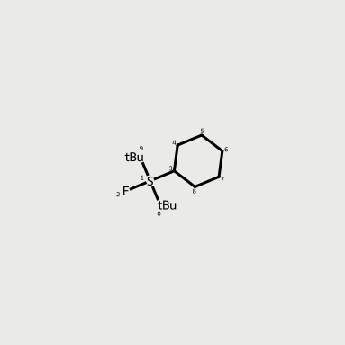 CC(C)(C)S(F)(C1CCCCC1)C(C)(C)C